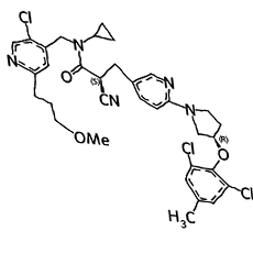 COCCCc1cc(CN(C(=O)[C@H](C#N)Cc2ccc(N3CC[C@@H](Oc4c(Cl)cc(C)cc4Cl)C3)nc2)C2CC2)c(Cl)cn1